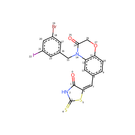 O=C1NC(=S)SC1=Cc1ccc2c(c1)N(Cc1cc(Br)cc(I)c1)C(=O)CO2